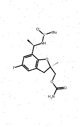 C[C@@H](N[S+]([O-])C(C)(C)C)c1cc(F)cc2c1O[C@@](C)(COC(N)=O)C2